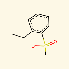 CCc1ccccc1S(C)(=O)=O